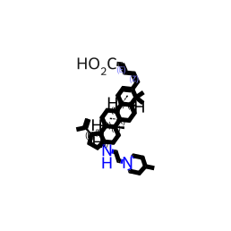 C=C(C)[C@@H]1CC[C@]2(NCCN3CCC(C)CC3)CC[C@]3(C)[C@H](CC[C@@H]4[C@@]5(C)CC=C(/C=C\C=C\C(=O)O)C(C)(C)[C@@H]5CC[C@]43C)[C@@H]12